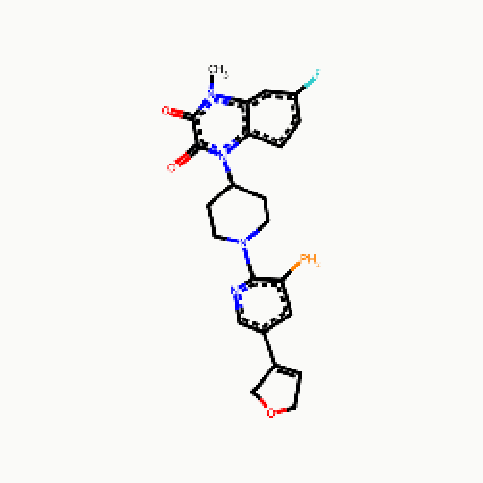 Cn1c(=O)c(=O)n(C2CCN(c3ncc(C4=CCOC4)cc3P)CC2)c2ccc(F)cc21